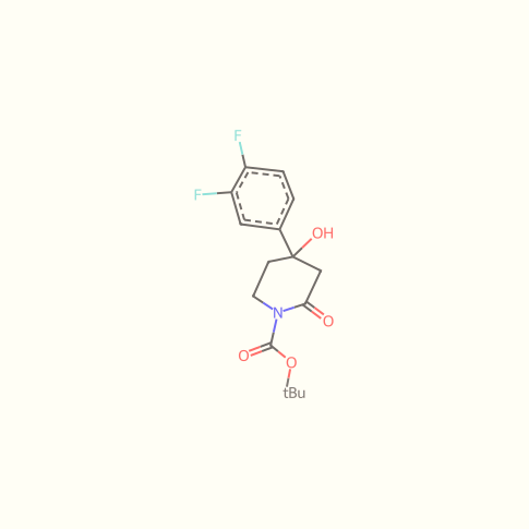 CC(C)(C)OC(=O)N1CCC(O)(c2ccc(F)c(F)c2)CC1=O